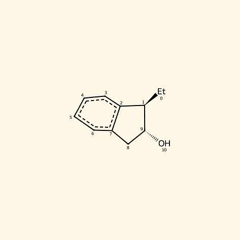 CC[C@@H]1c2ccccc2C[C@H]1O